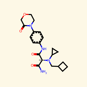 NC(=O)[C@@H](C(=O)Nc1ccc(N2CCOCC2=O)cc1)N(CC1CCC1)C1CC1